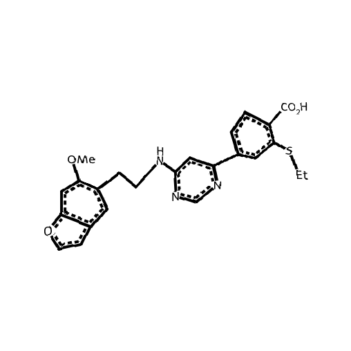 CCSc1cc(-c2cc(NCCc3cc4ccoc4cc3OC)ncn2)ccc1C(=O)O